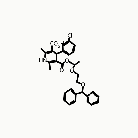 CC1=C(C(=O)O)C(c2cccc(Cl)c2)C(C(=O)OC(C)OCCOC(c2ccccc2)c2ccccc2)=C(C)N1